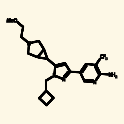 COCCN1CC2C(C1)C2c1cc(-c2cnc(N)c(C(F)(F)F)c2)nn1CC1CCC1